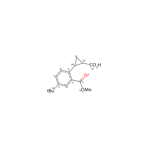 COC(=O)c1cc(C(C)(C)C)ccc1C1CC1C(=O)O